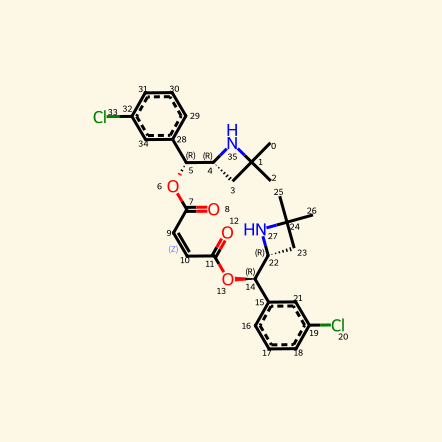 CC1(C)C[C@H]([C@H](OC(=O)/C=C\C(=O)O[C@H](c2cccc(Cl)c2)[C@H]2CC(C)(C)N2)c2cccc(Cl)c2)N1